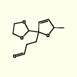 CC1C=CC(CCC=O)(C2OCCO2)O1